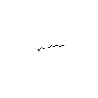 CC(C)(C)OC(=O)CCOCCCCCCO